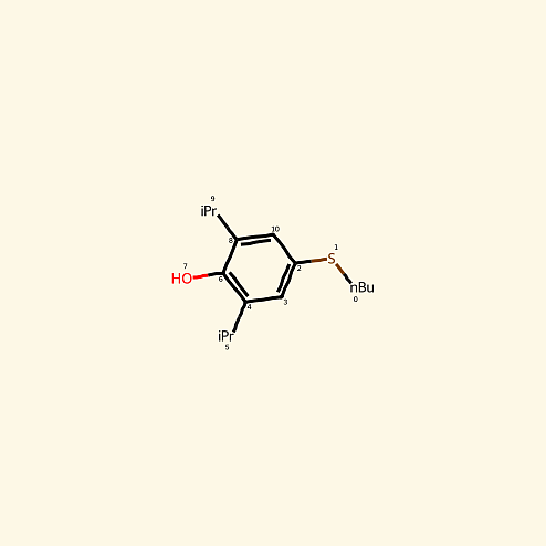 CCCCSc1cc(C(C)C)c(O)c(C(C)C)c1